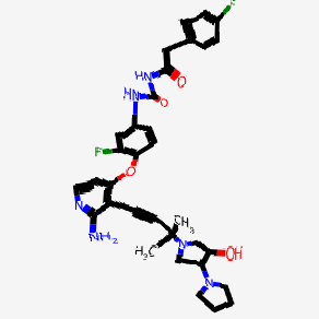 CC(C)(C#Cc1c(Oc2ccc(NC(=O)NC(=O)Cc3ccc(F)cc3)cc2F)ccnc1N)N1CC(O)C(N2CCCC2)C1